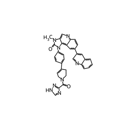 Cn1c(=O)n(-c2ccc(C3=CCN(C(=O)c4nc[nH]n4)CC3)cc2)c2c3cc(-c4cnc5ccccc5c4)ccc3ncc21